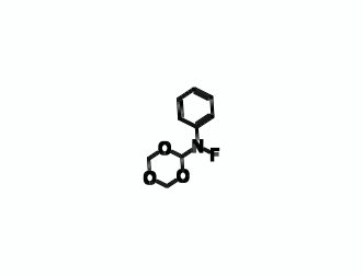 FN(c1ccccc1)C1OCOCO1